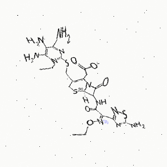 CCO/N=C(\C(=O)NC1C(=O)N2C(C(=O)[O-])=C(CSc3nc(N)c(N)c(N)[n+]3CC)CS[C@H]12)c1nsc(N)n1